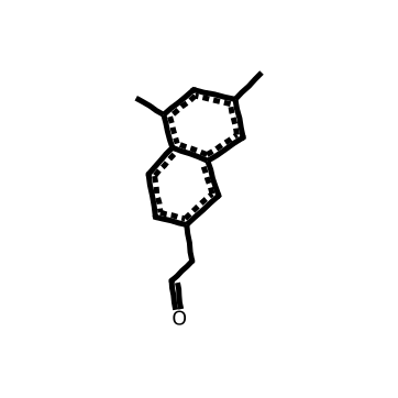 Cc1cc(C)c2ccc(CC=O)cc2c1